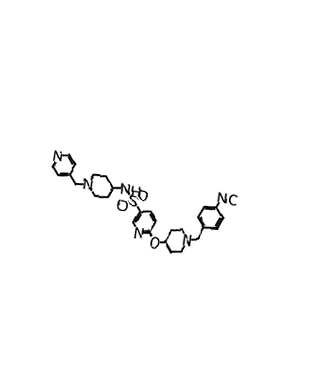 [C-]#[N+]c1ccc(CN2CCC(Oc3ccc(S(=O)(=O)NC4CCN(Cc5ccncc5)CC4)cn3)CC2)cc1